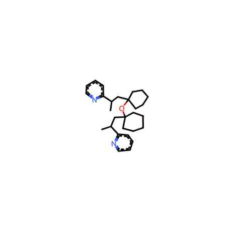 CC(CC1(OC2(CC(C)c3ccccn3)CCCCC2)CCCCC1)c1ccccn1